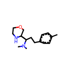 Cc1ccc(CCC(C2COCCN2)N(C)C)cc1